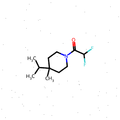 CC(C)C1(C)CCN(C(=O)C(F)F)CC1